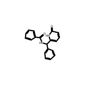 O=C(NC(c1ccccc1)c1cccc(=O)[nH]1)c1ccccc1